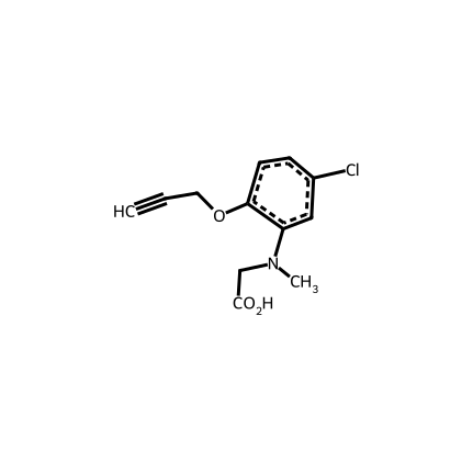 C#CCOc1ccc(Cl)cc1N(C)CC(=O)O